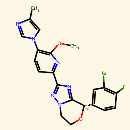 COc1nc(-c2nc3n(n2)CCO[C@H]3c2ccc(F)c(Br)c2)ccc1-n1cnc(C)c1